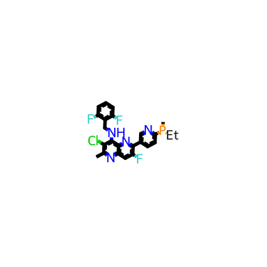 CCP(C)c1ccc(-c2nc3c(NCc4c(F)cccc4F)c(Cl)c(C)nc3cc2F)cn1